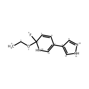 CCOC1(F)C=CC(c2cn[nH]c2)=CN1